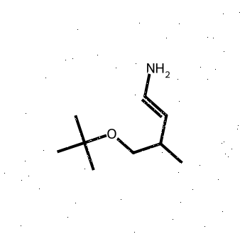 CC(C=CN)COC(C)(C)C